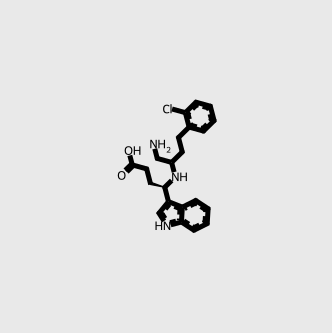 NCC(CCc1ccccc1Cl)N[C@H](CCC(=O)O)c1c[nH]c2ccccc12